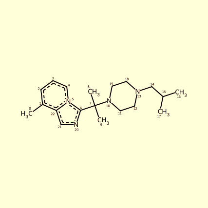 Cc1cccn2c(C(C)(C)N3CCN(CC(C)C)CC3)ncc12